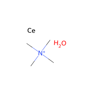 C[N+](C)(C)C.O.[Ce]